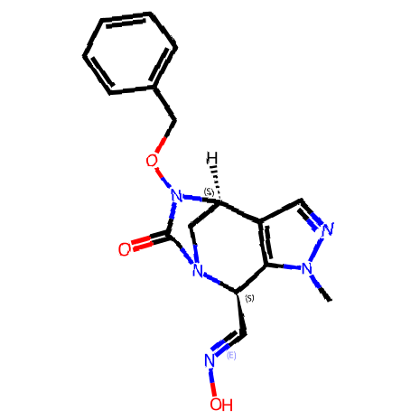 Cn1ncc2c1[C@@H](/C=N/O)N1C[C@H]2N(OCc2ccccc2)C1=O